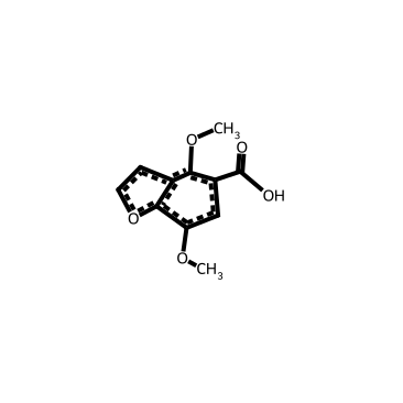 COc1c(C(=O)O)cc(OC)c2occc12